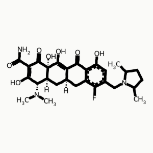 CC1CCC(C)N1Cc1cc(O)c2c(c1F)C[C@H]1C[C@H]3[C@H](N(C)C)C(O)=C(C(N)=O)C(=O)[C@@]3(O)C(O)=C1C2=O